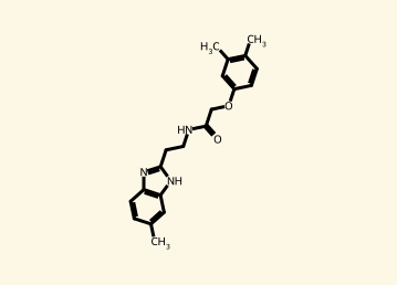 Cc1ccc2nc(CCNC(=O)COc3ccc(C)c(C)c3)[nH]c2c1